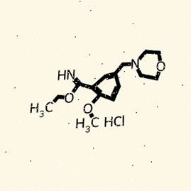 CCOC(=N)c1cc(CN2CCOCC2)ccc1OC.Cl